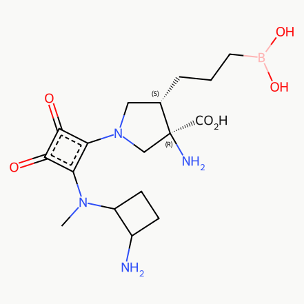 CN(c1c(N2C[C@H](CCCB(O)O)[C@](N)(C(=O)O)C2)c(=O)c1=O)C1CCC1N